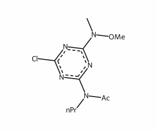 CCCN(C(C)=O)c1nc(Cl)nc(N(C)OC)n1